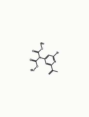 C=C(C)c1cc(N(C(=O)OC(C)(C)C)C(=O)OC(C)(C)C)cc(Br)n1